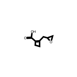 O=C(O)C1=C(CC2CO2)CC1